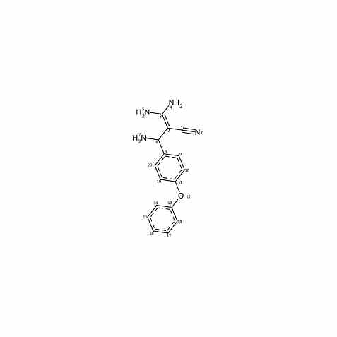 N#CC(=C(N)N)C(N)c1ccc(Oc2ccccc2)cc1